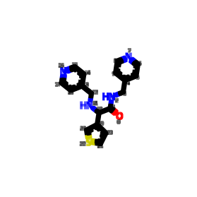 O=C(NCc1ccncc1)C(NCc1ccncc1)c1ccsc1